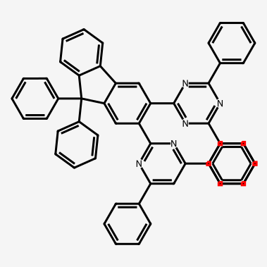 c1ccc(-c2cc(-c3ccccc3)nc(-c3cc4c(cc3-c3nc(-c5ccccc5)nc(-c5ccccc5)n3)-c3ccccc3C4(c3ccccc3)c3ccccc3)n2)cc1